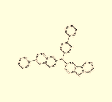 c1ccc(-c2ccc(N(c3ccc4cc(-c5ccccc5)ccc4c3)c3ccc4oc5ccncc5c4c3)cc2)cc1